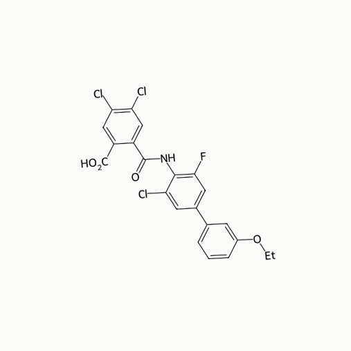 CCOc1cccc(-c2cc(F)c(NC(=O)c3cc(Cl)c(Cl)cc3C(=O)O)c(Cl)c2)c1